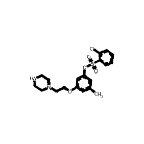 Cc1cc(OCCN2CCNCC2)cc(OS(=O)(=O)c2ccccc2Cl)c1